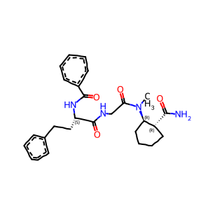 CN(C(=O)CNC(=O)[C@H](CCc1ccccc1)NC(=O)c1ccccc1)[C@@H]1CCCC[C@H]1C(N)=O